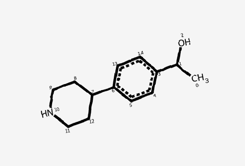 CC(O)c1ccc(C2CCNCC2)cc1